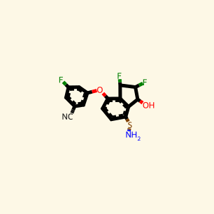 N#Cc1cc(F)cc(Oc2ccc(SN)c3c2C(F)C(F)C3O)c1